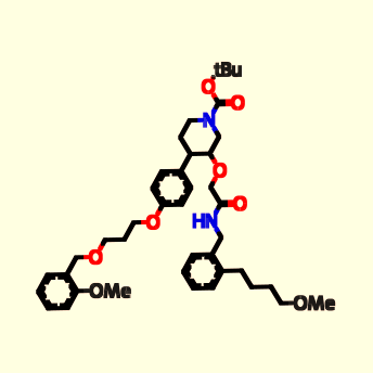 COCCCCc1ccccc1CNC(=O)COC1CN(C(=O)OC(C)(C)C)CCC1c1ccc(OCCCOCc2ccccc2OC)cc1